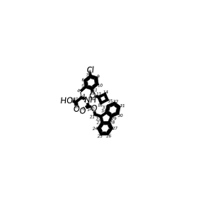 O=C(N[C@@H](Cc1cc(Cl)ccc1OC1CCC1)C(=O)O)OCC1c2ccccc2-c2ccccc21